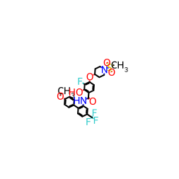 COc1ccc(-c2ccc(C(F)(F)F)cc2NC(=O)c2ccc(OC3CCN(S(C)(=O)=O)CC3)c(F)c2O)cc1